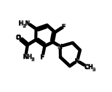 CN1CCN(c2c(F)cc(N)c(C(N)=O)c2F)CC1